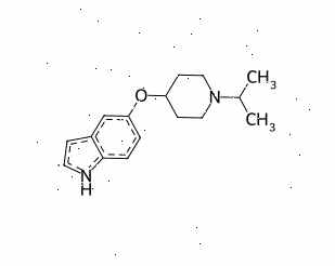 CC(C)N1CCC(Oc2ccc3[nH][c]cc3c2)CC1